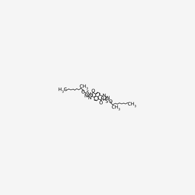 CCCCCCCCC(C)COc1nc2nc3c4ccc5c(=O)n6c(nc7nc(OCC(C)CCCCCCCC)sc76)c6ccc(c(=O)n3c2s1)c4c56